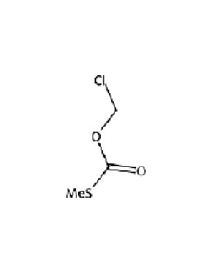 CSC(=O)OCCl